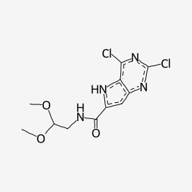 COC(CNC(=O)c1cc2nc(Cl)nc(Cl)c2[nH]1)OC